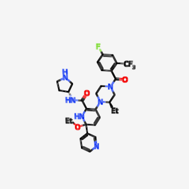 CCOC1(c2cccnc2)C=CC(N2CCN(C(=O)c3ccc(F)cc3C(F)(F)F)C[C@H]2CC)=C(C(=O)N[C@@H]2CCNC2)N1